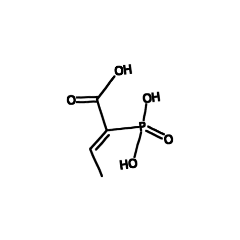 CC=C(C(=O)O)P(=O)(O)O